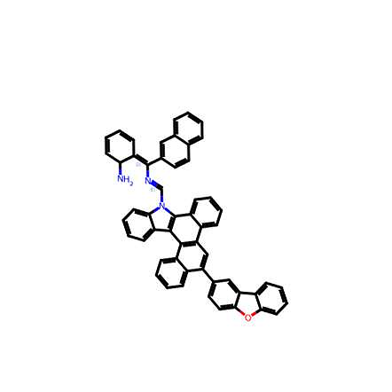 NC1C=CC=C/C1=C(/N=C/n1c2ccccc2c2c3c4ccccc4c(-c4ccc5oc6ccccc6c5c4)cc3c3ccccc3c21)c1ccc2ccccc2c1